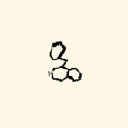 C1=Cc2ccccc2C(Cc2ccccc2)C=N1